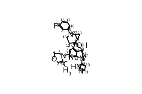 C[C@@H]1COCCN1c1cc([C@@]2(O)CCN(c3cccc(F)c3)C3CC32)c2cnn(-c3ccn[nH]3)c2n1